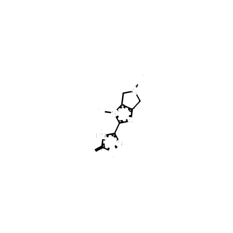 CCn1c(-c2noc(=O)[nH]2)nc2c1CN(O)C2